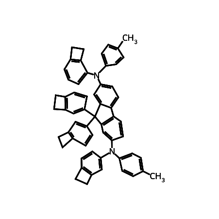 Cc1ccc(N(c2ccc3c(c2)CC3)c2ccc3c(c2)C(c2ccc4c(c2)CC4)(c2ccc4c(c2)CC4)c2cc(N(c4ccc(C)cc4)c4cccc5c4CC5)ccc2-3)cc1